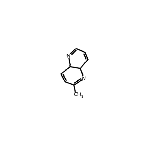 CC1=NC2C=CC=NC2C=C1